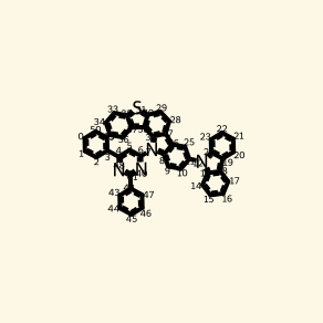 c1ccc(-c2cc(-n3c4ccc(-n5c6ccccc6c6ccccc65)cc4c4ccc5sc6ccccc6c5c43)nc(-c3ccccc3)n2)cc1